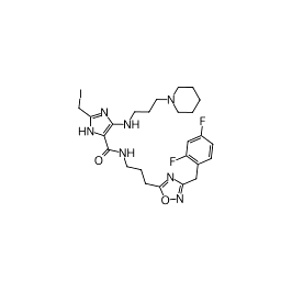 O=C(NCCCc1nc(Cc2ccc(F)cc2F)no1)c1[nH]c(CI)nc1NCCCN1CCCCC1